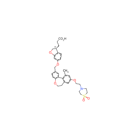 Cc1cc(OCCN2CCS(=O)(=O)CC2)cc2c1-c1cc(COc3ccc4c(c3)OC[C@H]4CCC(=O)O)ccc1OCC2